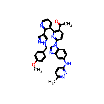 COc1ccc(Cn2cc(-c3ncccc3-c3nc(-n4cnc5cc(Nc6ccc(C)nn6)ccc54)ccc3C(C)=O)cn2)cc1